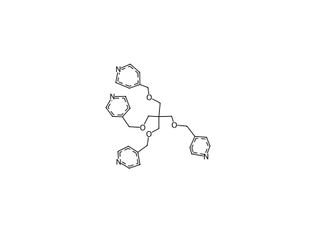 c1cc(COCC(COCc2ccncc2)(COCc2ccncc2)COCc2ccncc2)ccn1